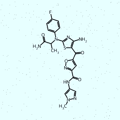 CC(C(N)=O)N(c1ccc(F)cc1)c1nc(N)c(C(=O)c2cc(C(=O)Nc3cnn(C)c3)no2)s1